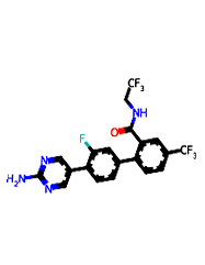 Nc1ncc(-c2ccc(-c3ccc(C(F)(F)F)cc3C(=O)NCC(F)(F)F)cc2F)cn1